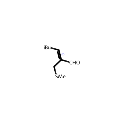 CCC(C)/C=C(/C=O)CSC